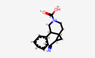 N#CC1CC12CCN(C(=O)O)CC2c1ccccc1